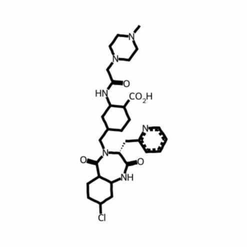 CN1CCN(CC(=O)NC2CC(CN3C(=O)C4CCC(Cl)CC4NC(=O)[C@H]3Cc3ccccn3)CCC2C(=O)O)CC1